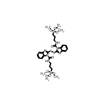 CO[Si](CCCNC(=O)n1c(SSc2nc3ccccc3n2C(=O)NCCC[Si](OC)(OC)OC)nc2ccccc21)(OC)OC